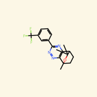 CC12CCC(c3nc(-c4cccc(C(F)(F)F)c4)nnc31)C(C)(C)O2